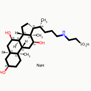 C[C@H](CCCNCCS(=O)(=O)O)[C@H]1CC[C@H]2[C@@H]3[C@H](O)C[C@@H]4C[C@H](O)CC[C@]4(C)[C@H]3C[C@H](O)[C@]12C.[NaH]